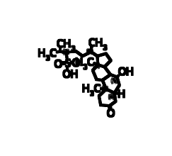 CC(C)[C@@H](CC[C@@H](C)C1CCC2C3C(CC[C@@]21C)[C@@]1(C)CCC(=O)C[C@H]1C[C@@H]3O)S(=O)(=O)O